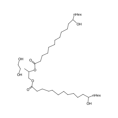 CCCCCCC(O)CCCCCCCCCCC(=O)OCC(C)OC(=O)CCCCCCCCCCC(O)CCCCCC.OCCO